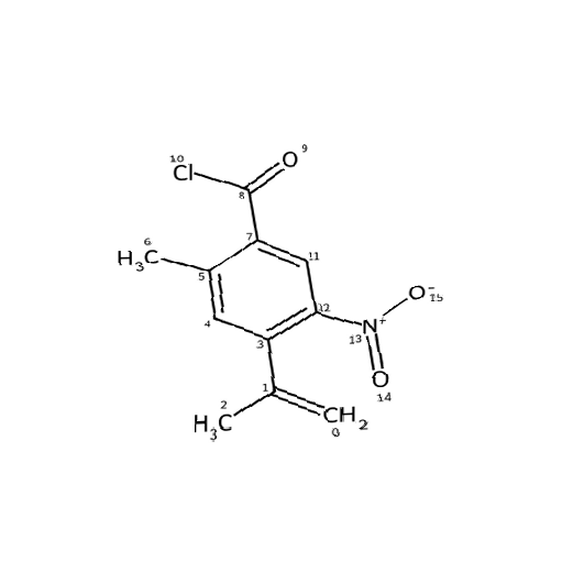 C=C(C)c1cc(C)c(C(=O)Cl)cc1[N+](=O)[O-]